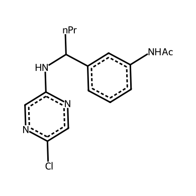 CCCC(Nc1cnc(Cl)cn1)c1cccc(NC(C)=O)c1